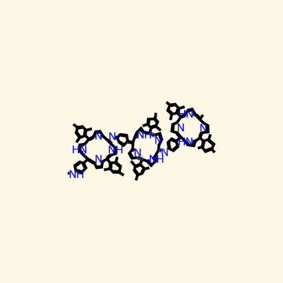 CNc1ccc(-c2c3nc(c(-c4c(C)cc(C)cc4C)c4ccc([nH]4)c(N=C4C=CC(=C5C6=N/C(=C(/c7c(C)cc(C)cc7C)c7ccc([nH]7)/C(=N/c7ccc(-c8c9nc(c(-c%10c(C)cc(C)cc%10C)c%10ccc([nH]%10)c(C)c%10nc(c(-c%11c(C)cc(C)cc%11C)c%11ccc8[nH]%11)C=C%10)C=C9)cc7)C7=N/C(=C(/c8c(C)cc(C)cc8C)c8ccc5[nH]8)C=C7)C=C6)C=C4)c4nc(c(-c5c(C)cc(C)cc5C)c5ccc2[nH]5)C=C4)C=C3)cc1